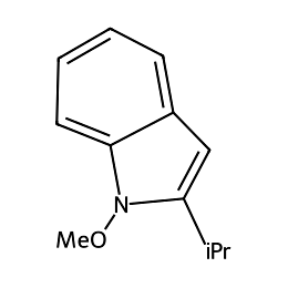 [CH2]On1c(C(C)C)cc2ccccc21